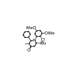 CCC(C)c1cc(=O)c(C)c(-c2ccccc2)n1-c1cc(OC)cc(OC)c1Cl